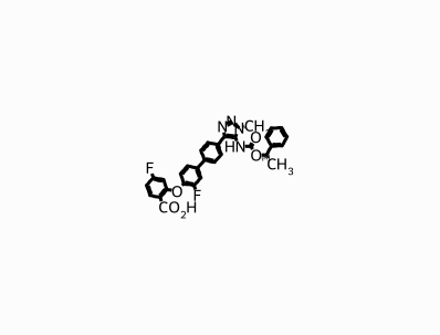 C[C@@H](OC(=O)Nc1c(-c2ccc(-c3ccc(Oc4cc(F)ccc4C(=O)O)c(F)c3)cc2)nnn1C)c1ccccc1